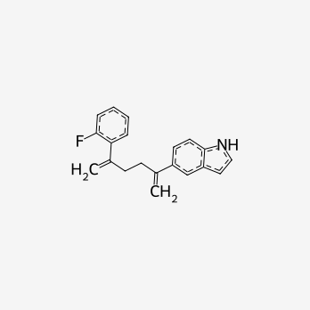 C=C(CCC(=C)c1ccccc1F)c1ccc2[nH]ccc2c1